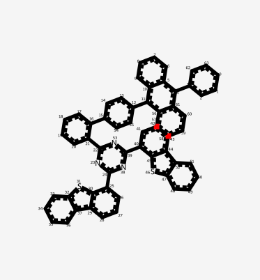 c1ccc(-c2c3ccccc3c(-c3ccc(-c4ccccc4-c4nc(-c5cccc6c5sc5ccccc56)nc(-c5cccc6c5sc5ccccc56)n4)cc3)c3ccccc23)cc1